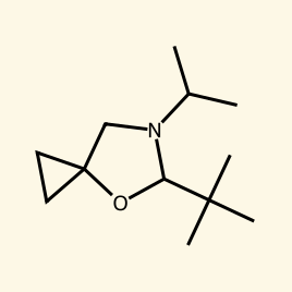 CC(C)N1CC2(CC2)OC1C(C)(C)C